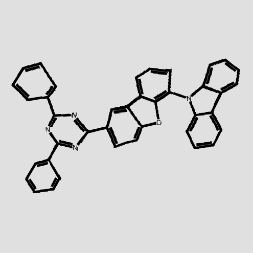 c1ccc(-c2nc(-c3ccccc3)nc(-c3ccc4oc5c(-n6c7ccccc7c7ccccc76)cccc5c4c3)n2)cc1